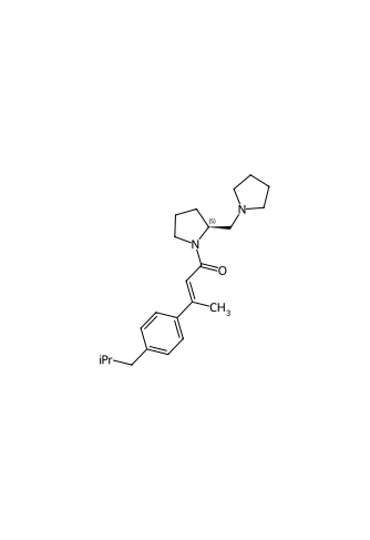 CC(=CC(=O)N1CCC[C@H]1CN1CCCC1)c1ccc(CC(C)C)cc1